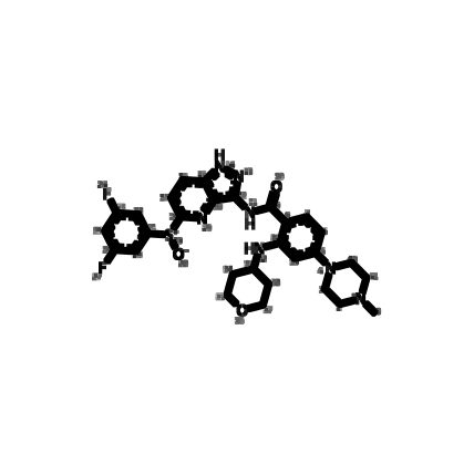 CN1CCN(c2ccc(C(=O)Nc3n[nH]c4ccc([S+]([O-])c5cc(F)cc(F)c5)nc34)c(NC3CCOCC3)c2)CC1